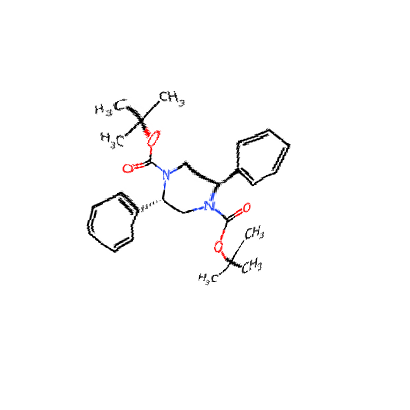 CC(C)(C)OC(=O)N1C[C@@H](c2ccccc2)N(C(=O)OC(C)(C)C)C[C@@H]1c1ccccc1